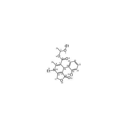 CCOC(C)OC(=O)C1=C(C)N(CC)C2=C(C(=O)OC2)C1c1ccccc1Cl